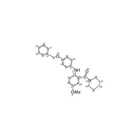 COc1ccc(Nc2ccc(OCc3ccccc3)cc2)c(C(=O)N2CCCCC2)c1